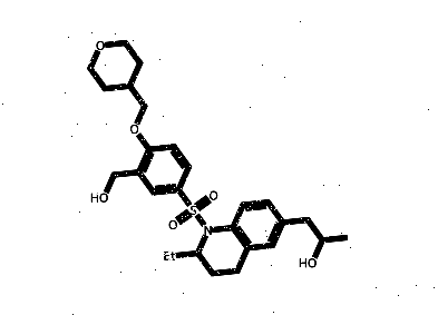 CCC1CCc2cc(CC(C)O)ccc2N1S(=O)(=O)c1ccc(OCC2CCOCC2)c(CO)c1